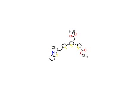 CCN1c2ccccc2SC1/C=C/c1ccc(-c2cc(CC(=O)OC)c(-c3ccc(C(=O)OC)s3)s2)s1